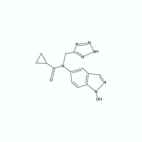 O=C(C1CC1)N(Cc1nn[nH]n1)c1ccc2c(cnn2O)c1